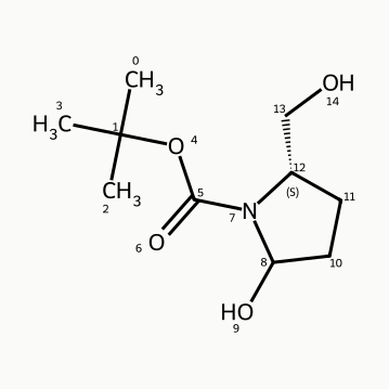 CC(C)(C)OC(=O)N1C(O)CC[C@H]1CO